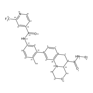 CCNC(=O)C1Cc2ccc(-c3cc(NC(=O)c4ccnc(C(F)(F)F)c4)ccc3C)cc2N2CCOCC12